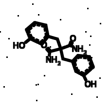 NC(=O)C(Cc1cccc(O)c1)(Cc1cccc(O)c1)C(N)=O